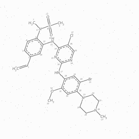 C=Cc1ccc(N(C)S(C)(=O)=O)c(Nc2nc(Nc3cc(Br)c(N4CCN(C)CC4)cc3OC)ncc2Cl)c1